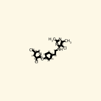 Cc1nc(C)c(Cl)c(NCCc2ccc(Oc3ncc(Cl)cc3Cl)cc2)n1